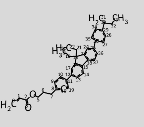 C=CC(=O)OCCCc1ccc(-c2ccc3c(c2)C(CC)(CC)c2cc(-c4ccc(C(=C)CC)cc4)ccc2-3)cc1